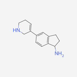 NC1CCc2cc(C3=CCCNC3)ccc21